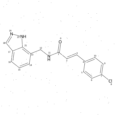 O=C(C=Cc1ccc(Cl)cc1)NCc1cccc2cn[nH]c12